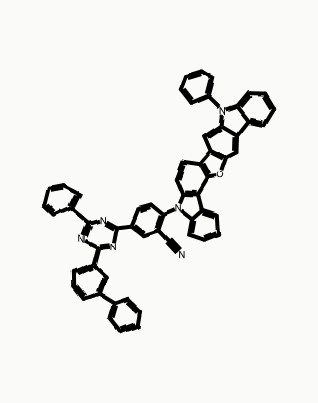 N#Cc1cc(-c2nc(-c3ccccc3)nc(-c3cccc(-c4ccccc4)c3)n2)ccc1-n1c2ccccc2c2c3oc4cc5c6ccccc6n(-c6ccccc6)c5cc4c3ccc21